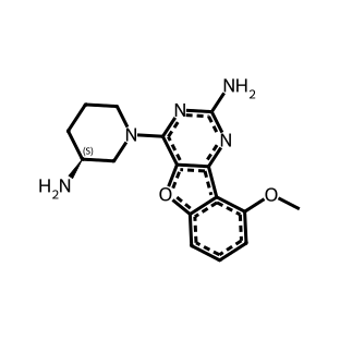 COc1cccc2oc3c(N4CCC[C@H](N)C4)nc(N)nc3c12